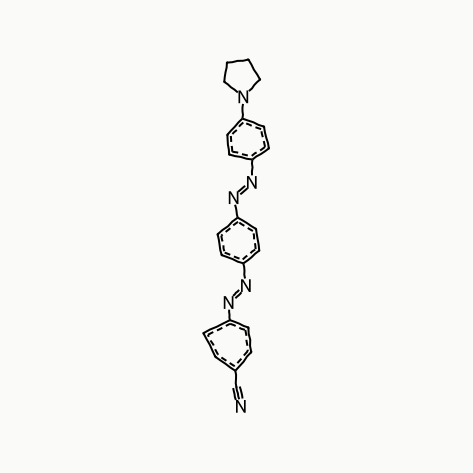 N#Cc1ccc(/N=N/c2ccc(/N=N/c3ccc(N4CCCC4)cc3)cc2)cc1